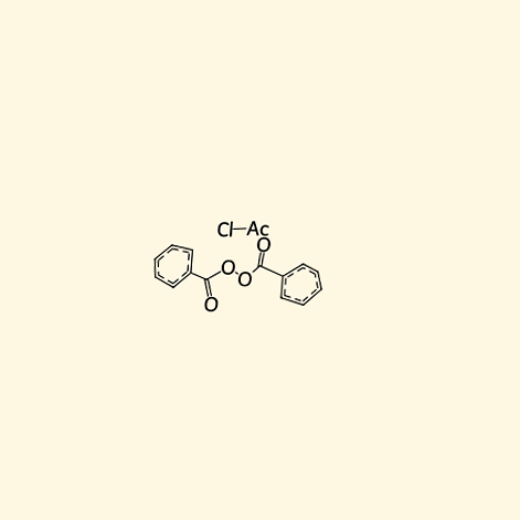 CC(=O)Cl.O=C(OOC(=O)c1ccccc1)c1ccccc1